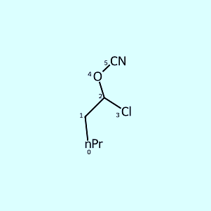 CCCCC(Cl)OC#N